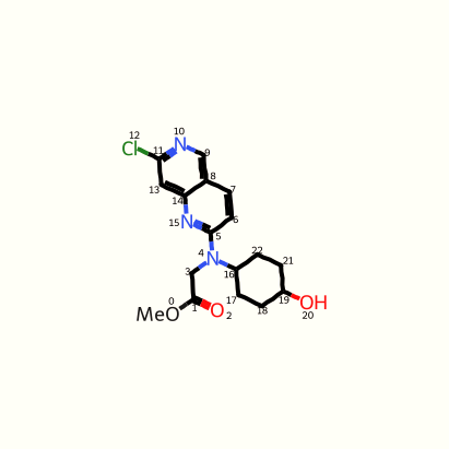 COC(=O)CN(c1ccc2cnc(Cl)cc2n1)C1CCC(O)CC1